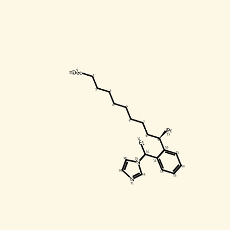 CCCCCCCCCCCCCCCCCC[C@H](c1ccccc1C(CC)n1ccnc1)C(C)C